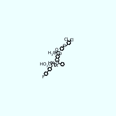 CC[C@@H](c1ccccc1)N1Cc2cc3c(cc2C[C@H]1C(=O)NC(Cc1ccc(-c2ccc(F)cc2)cc1)C(=O)O)N(C)C(=O)[C@H](c1ccc(OCc2ccc(Cl)c(Cl)c2)cc1)O3